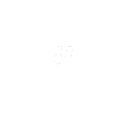 CCCCOC1(OCC)C=CC(C(=O)c2ccccc2)=C(O)C1